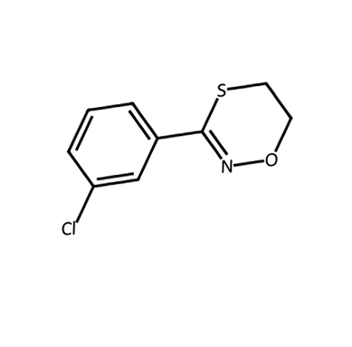 Clc1cccc(C2=NOCCS2)c1